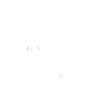 CCCN(CCOc1cccc2ccccc12)C1CCc2c(cccc2OC)C1